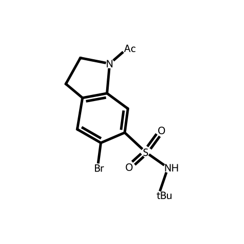 CC(=O)N1CCc2cc(Br)c(S(=O)(=O)NC(C)(C)C)cc21